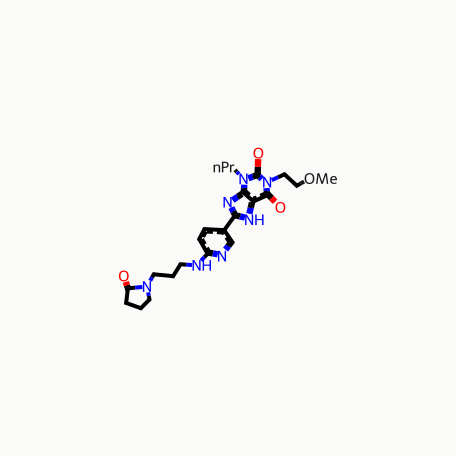 CCCn1c(=O)n(CCOC)c(=O)c2[nH]c(-c3ccc(NCCCN4CCCC4=O)nc3)nc21